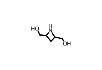 OCC1CC(CO)N1